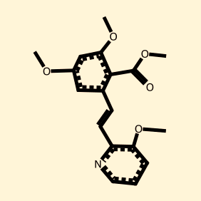 COC(=O)c1c(C=Cc2ncccc2OC)cc(OC)cc1OC